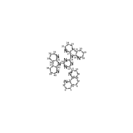 c1cnc2c(c1)ccc1ccc(-c3nc(-n4c5ncccc5c5cccnc54)nc(-n4c5ncccc5c5cccnc54)n3)nc12